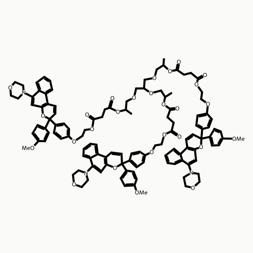 COc1ccc(C2(c3ccc(OCCOC(=O)CCC(=O)OC(C)COCC(COCC(C)OC(=O)CCC(=O)OCCOc4ccc(C5(c6ccc(OC)cc6)C=Cc6c(cc(N7CCOCC7)c7ccccc67)O5)cc4)OCC(C)OC(=O)CCC(=O)OCCOc4ccc(C5(c6ccc(OC)cc6)C=Cc6c(cc(N7CCOCC7)c7ccccc67)O5)cc4)cc3)C=Cc3c(cc(N4CCOCC4)c4ccccc34)O2)cc1